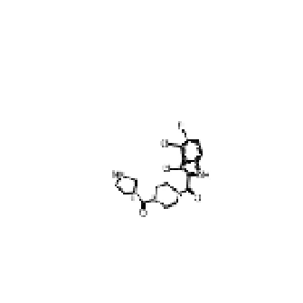 O=C(c1[nH]c2ccc(F)c(Cl)c2c1Cl)N1CCN(C(=O)[C@H]2CCNC2)CC1